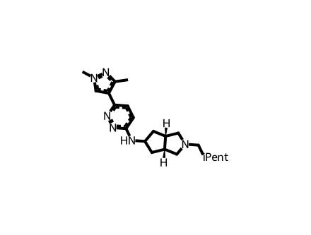 CCCC(C)CN1C[C@H]2CC(Nc3ccc(-c4cn(C)nc4C)nn3)C[C@H]2C1